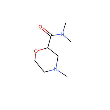 CN1CCOC(C(=O)N(C)C)C1